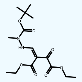 CCOC(=O)C(=O)C(=CNN(C)C(=O)OC(C)(C)C)C(=O)OCC